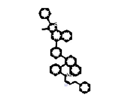 Cc1c(-c2ccccc2)sc2c1cc(-c1cccc(-c3ccc4ccccc4c3-c3ccccc3C(=N)/C=C\Cc3ccccc3)c1)c1ccccc12